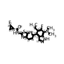 CCc1c(F)c(N(C)C)c2[nH]ncc2c1-c1ccc2nc(NC(=O)[C@@H]3C[C@@H]3F)sc2n1